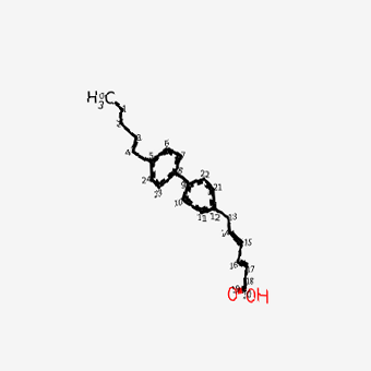 CCCCCc1ccc(-c2ccc(C/C=C/C=C/C(=O)O)cc2)cc1